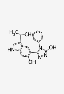 CC(C)c1c[nH]c2cc(O)c(-c3nnc(O)n3-c3ccccc3)cc12